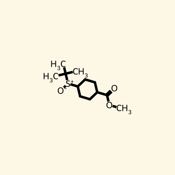 COC(=O)C1CCC([S+]([O-])C(C)(C)C)CC1